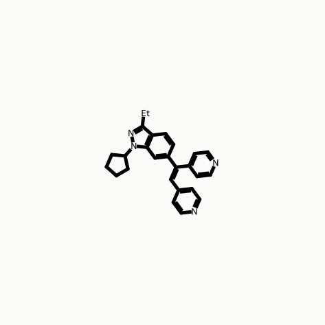 CCc1nn(C2CCCC2)c2cc(C(=Cc3ccncc3)c3ccncc3)ccc12